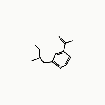 CCN(C)Cc1cc(C(C)=O)ccn1